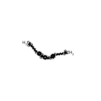 C=CC(=O)OCCCCCCOc1ccc(OOCC2CCC(C(=O)Oc3ccc(OCCCCCCOC(=O)C=C)cc3)CC2)cc1